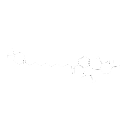 Cn1c(=O)n(C2CCC(=O)NC2=O)c2cccc(NCCCCCCCCN3CCC(F)(F)CC3)c21